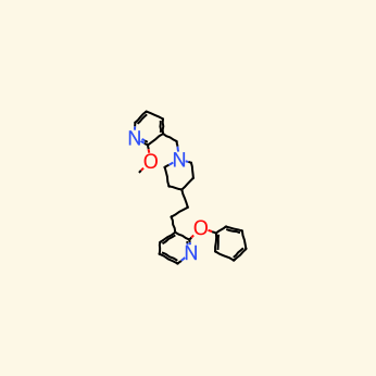 COc1ncccc1CN1CCC(CCc2cccnc2Oc2ccccc2)CC1